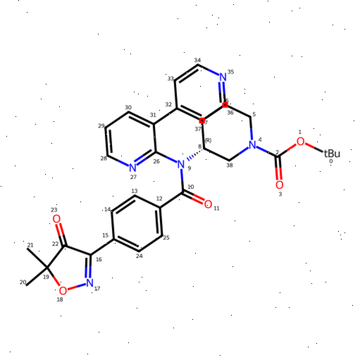 CC(C)(C)OC(=O)N1CCC[C@@H](N(C(=O)c2ccc(C3=NOC(C)(C)C3=O)cc2)c2ncccc2-c2ccncc2)C1